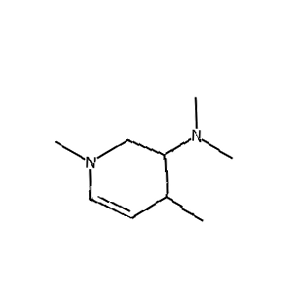 CC1C=CN(C)CC1N(C)C